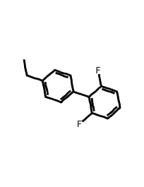 CCc1ccc(-c2c(F)cccc2F)cc1